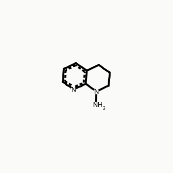 NN1CCCc2cccnc21